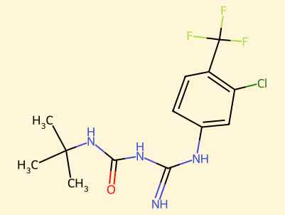 CC(C)(C)NC(=O)NC(=N)Nc1ccc(C(F)(F)F)c(Cl)c1